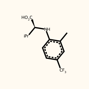 Cc1cc(C(F)(F)F)ccc1N[C@H](C(=O)O)C(C)C